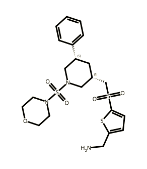 NCc1ccc(S(=O)(=O)C[C@H]2C[C@@H](c3ccccc3)CN(S(=O)(=O)N3CCOCC3)C2)s1